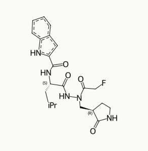 CC(C)C[C@H](NC(=O)c1cc2ccccc2[nH]1)C(=O)NN(C[C@H]1CCNC1=O)C(=O)CF